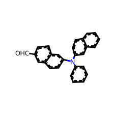 O=Cc1ccc2cc(N(c3ccccc3)c3ccc4ccccc4c3)ccc2c1